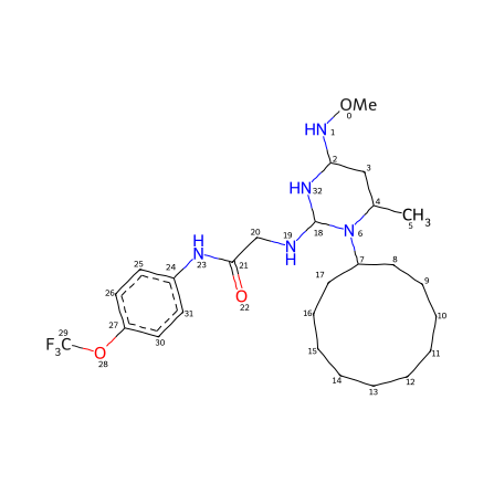 CONC1CC(C)N(C2CCCCCCCCCC2)C(NCC(=O)Nc2ccc(OC(F)(F)F)cc2)N1